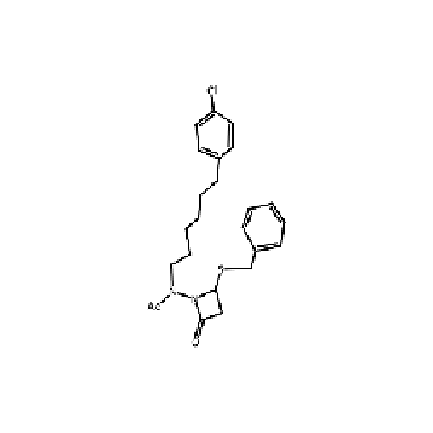 CC(=O)N(CCCCCCc1ccc(Cl)cc1)N1C(=O)CC1SCc1ccccc1